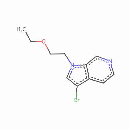 CCOCCn1cc(Br)c2ccncc21